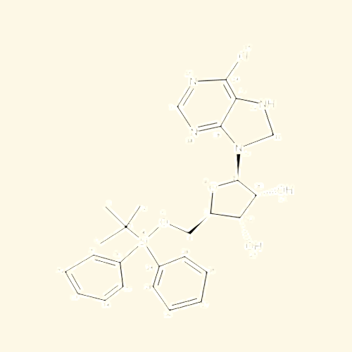 CC(C)(C)[Si](OC[C@H]1O[C@@H](N2CNc3c(Cl)ncnc32)[C@H](O)[C@@H]1O)(c1ccccc1)c1ccccc1